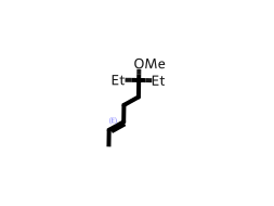 C/C=C/CCC(CC)(CC)OC